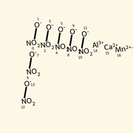 O=[N+]([O-])[O-].O=[N+]([O-])[O-].O=[N+]([O-])[O-].O=[N+]([O-])[O-].O=[N+]([O-])[O-].O=[N+]([O-])[O-].O=[N+]([O-])[O-].[Al+3].[Ca+2].[Mn+2]